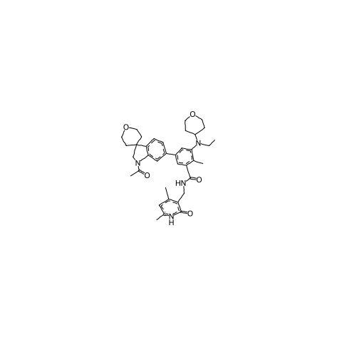 CCN(c1cc(-c2ccc3c(c2)N(C(C)=O)CC32CCOCC2)cc(C(=O)NCc2c(C)cc(C)[nH]c2=O)c1C)C1CCOCC1